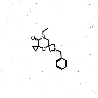 CCN1CC2(CN(Cc3ccccc3)C2)OC2(CC2)C1=O